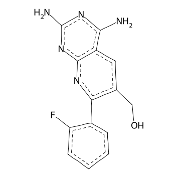 Nc1nc(N)c2cc(CO)c(-c3ccccc3F)nc2n1